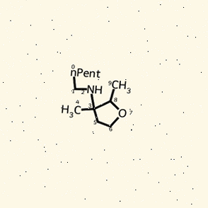 CCCCCCNC1(C)CCOC1C